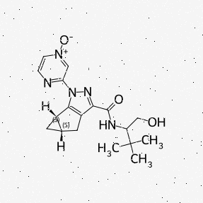 CC(C)(C)C(CO)NC(=O)c1nn(-c2c[n+]([O-])ccn2)c2c1C[C@@H]1C[C@H]21